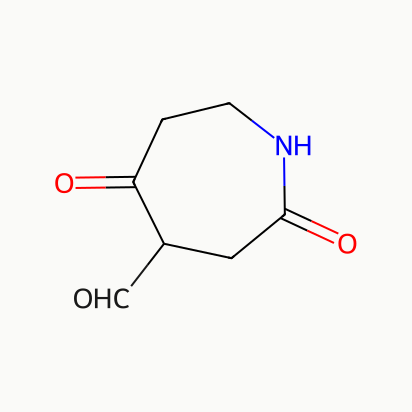 O=CC1CC(=O)NCCC1=O